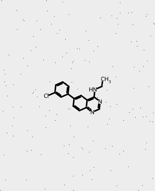 CCNc1ncnc2ccc(-c3cccc(Cl)c3)cc12